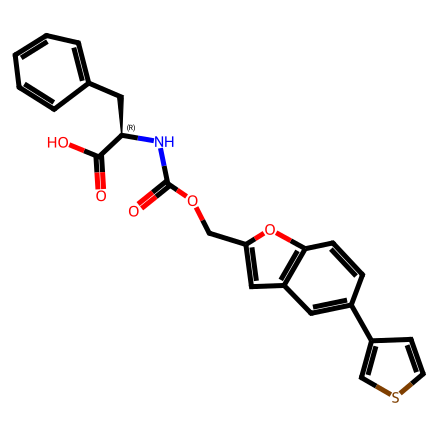 O=C(N[C@H](Cc1ccccc1)C(=O)O)OCc1cc2cc(-c3ccsc3)ccc2o1